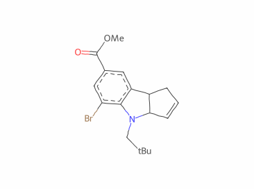 COC(=O)c1cc(Br)c2c(c1)C1CC=CC1N2CC(C)(C)C